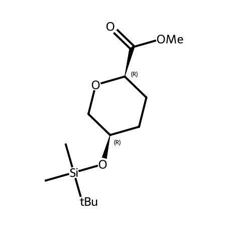 COC(=O)[C@H]1CC[C@@H](O[Si](C)(C)C(C)(C)C)CO1